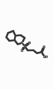 O=C(O)CCCS(=O)(=O)N1CCC2CCCCC2C1